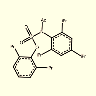 CC(=O)N(c1c(C(C)C)cc(C(C)C)cc1C(C)C)S(=O)(=O)Oc1c(C(C)C)cccc1C(C)C